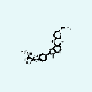 CCN1CCC(Nc2c(Br)cnc3[nH]c(-c4ccc(OC(C)(C)C(=O)NC)cc4)nc23)CC1